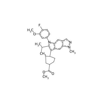 COC(=O)C1CCC(c2c(C(C)C)n(-c3ccc(F)c(OC)c3)c3cc4cnn(C)c4cc23)CC1